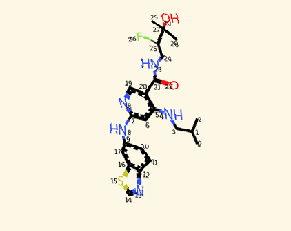 CC(C)CNc1cc(Nc2ccc3ncsc3c2)ncc1C(=O)NC[C@@H](F)C(C)(C)O